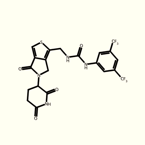 O=C1CCC(N2Cc3c(csc3CNC(=O)Nc3cc(C(F)(F)F)cc(C(F)(F)F)c3)C2=O)C(=O)N1